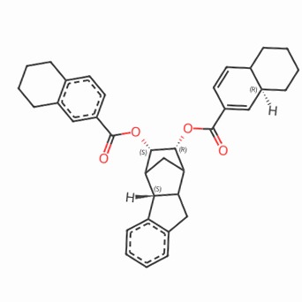 O=C(O[C@@H]1C2CC([C@H]3c4ccccc4CC23)[C@@H]1OC(=O)c1ccc2c(c1)CCCC2)C1=C[C@@H]2CCCCC2C=C1